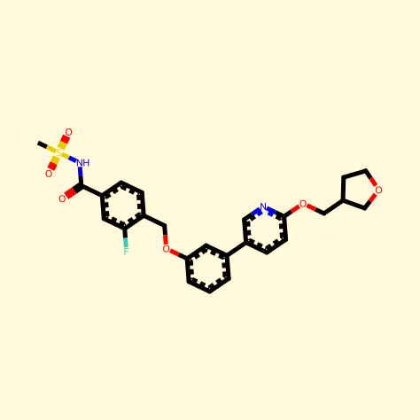 CS(=O)(=O)NC(=O)c1ccc(COc2cccc(-c3ccc(OCC4CCOC4)nc3)c2)c(F)c1